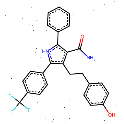 NC(=O)c1c(-c2ccccc2)[nH]c(-c2ccc(C(F)(F)F)cc2)c1CCc1ccc(O)cc1